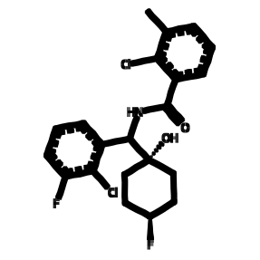 Cc1cccc(C(=O)NC(c2cccc(F)c2Cl)[C@]2(O)CC[C@H](F)CC2)c1Cl